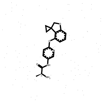 C[C@H](N)C(=O)Nc1ccc(Oc2cccc3c2C2(CC2)CO3)nc1